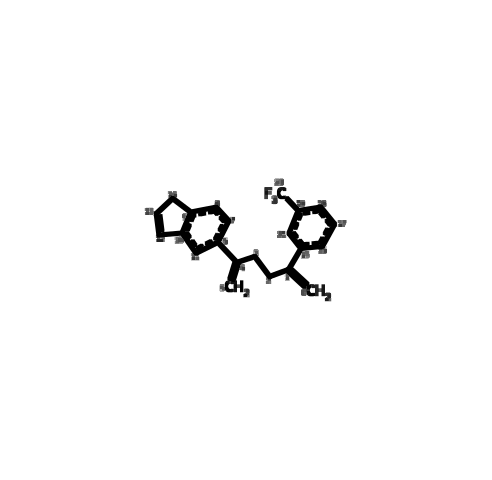 C=C(CCC(=C)c1ccc2c(c1)C=CC2)c1cccc(C(F)(F)F)c1